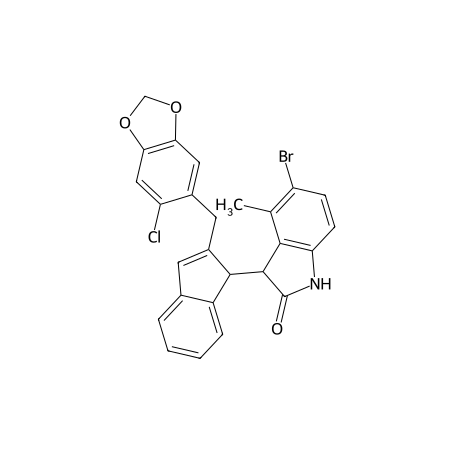 Cc1c(Br)ccc2c1C(C1C(Cc3cc4c(cc3Cl)OCO4)=Cc3ccccc31)C(=O)N2